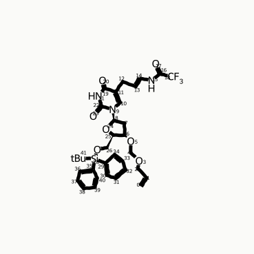 C=CCOCO[C@H]1C[C@H](n2cc(CC=CNC(=O)C(F)(F)F)c(=O)[nH]c2=O)O[C@@H]1CO[Si](c1ccccc1)(c1ccccc1)C(C)(C)C